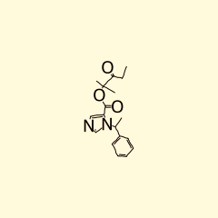 CCC(=O)C(C)(C)OC(=O)c1cncn1C(C)c1ccccc1